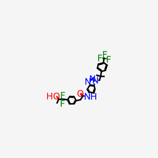 CC(O)C(F)(F)c1ccc(CC(=O)Nc2ccc3c(c2)nnn3CC(C)(C)c2ccc(C(F)(F)F)cc2)cc1